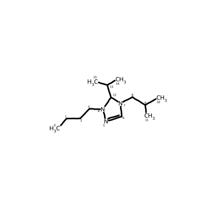 CCCCN1N=CN(CC(C)C)C1C(C)C